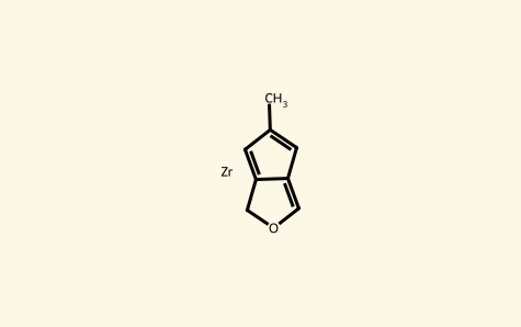 CC1=CC2=COCC2=C1.[Zr]